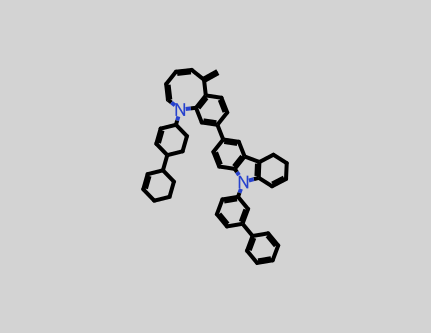 C=C1/C=C\C=C/N(C2C=CC(C3C=CCCC3)CC2)c2cc(-c3ccc4c(c3)c3c(n4-c4cccc(-c5ccccc5)c4)C=CCC3)ccc21